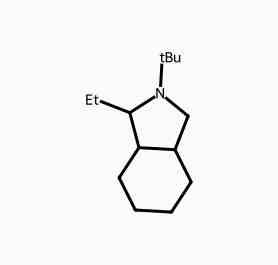 CCC1C2CCCCC2CN1C(C)(C)C